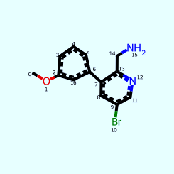 COc1cccc(-c2cc(Br)cnc2CN)c1